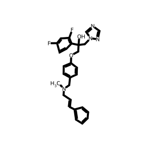 CN(CC=Cc1ccccc1)Cc1ccc(OCC(O)(Cn2cncn2)c2ccc(F)cc2F)cc1